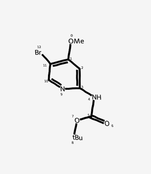 COc1cc(NC(=O)OC(C)(C)C)ncc1Br